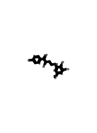 O=C(c1ccc(F)cc1)C(F)CCOc1cc(Br)cc(F)c1F